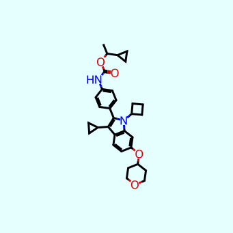 CC(OC(=O)Nc1ccc(-c2c(C3CC3)c3ccc(OC4CCOCC4)cc3n2C2CCC2)cc1)C1CC1